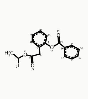 CC(I)OC(=O)Cc1ccccc1OC(=O)c1ccccc1